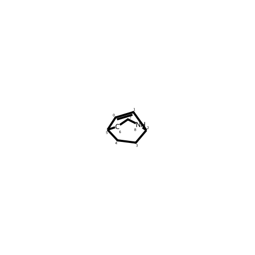 C1=CC2CCC1CCN2